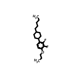 CCCCCC1CCC(c2ccc(OCCC)c(F)c2F)CC1